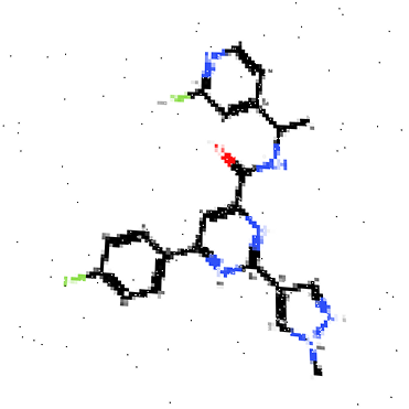 CC(NC(=O)c1cc(-c2ccc(F)cc2)nc(-c2cnn(C)c2)n1)c1ccnc(F)c1